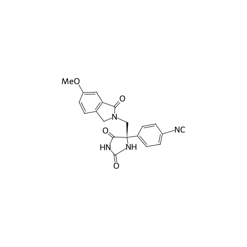 [C-]#[N+]c1ccc([C@]2(CN3Cc4ccc(OC)cc4C3=O)NC(=O)NC2=O)cc1